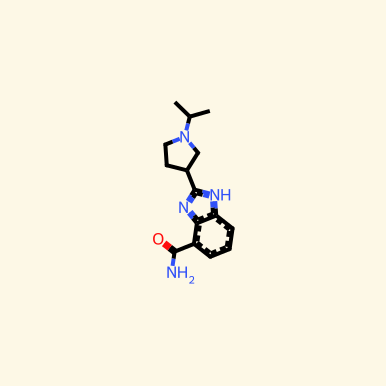 CC(C)N1CCC(c2nc3c(C(N)=O)cccc3[nH]2)C1